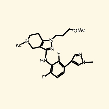 COCCCn1nc(Nc2c(F)ccc(-c3cnn(C)c3)c2F)c2c1CCN(C(C)=O)C2